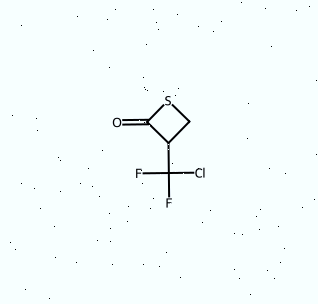 O=C1SCC1C(F)(F)Cl